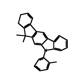 Cc1ccccc1-n1c2ccccc2c2cc3c(cc21)C(C)(C)C1=C3C=CCC1